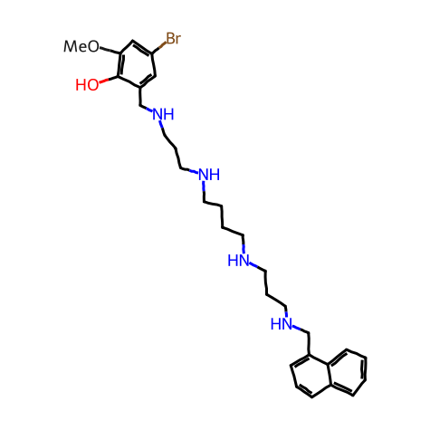 COc1cc(Br)cc(CNCCCNCCCCNCCCNCc2cccc3ccccc23)c1O